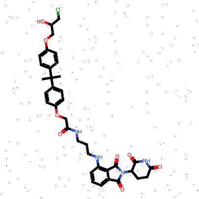 CC(C)(c1ccc(OCC(=O)NCCCNc2cccc3c2C(=O)N(C2CCC(=O)NC2=O)C3=O)cc1)c1ccc(OCC(O)CCl)cc1